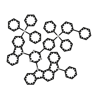 c1ccc(-c2cccc([Si](c3ccccc3)(c3ccccc3)c3ccc(-c4nc(-n5c6ccccc6c6ccc([Si](c7ccccc7)(c7ccccc7)c7ccccc7)cc65)nc(-n5c6ccccc6c6ccc7c(c8ccccc8n7-c7ccccc7)c65)n4)cc3)c2)cc1